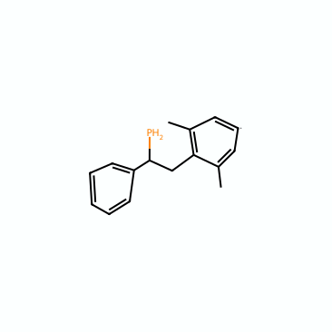 Cc1c[c]cc(C)c1CC(P)c1ccccc1